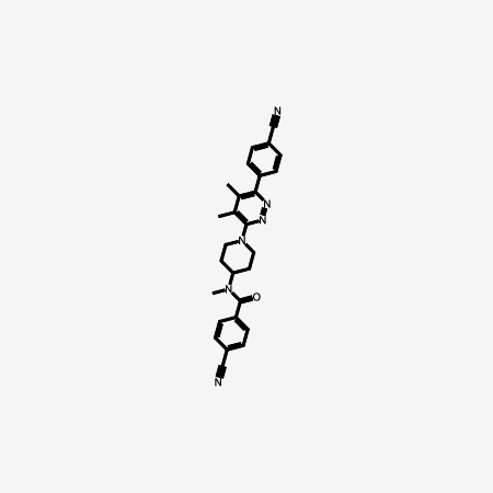 Cc1c(-c2ccc(C#N)cc2)nnc(N2CCC(N(C)C(=O)c3ccc(C#N)cc3)CC2)c1C